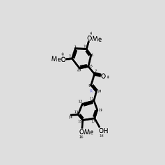 COc1cc(OC)cc(C(=O)/C=C/c2cc(C)c(OC)c(O)c2)c1